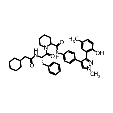 Cc1ccc(O)c(-c2nn(C)cc2-c2ccc(NC(=O)C3CCCCN3C(=O)[C@H](Cc3ccccc3)NC(=O)CC3CCCCC3)cc2)c1